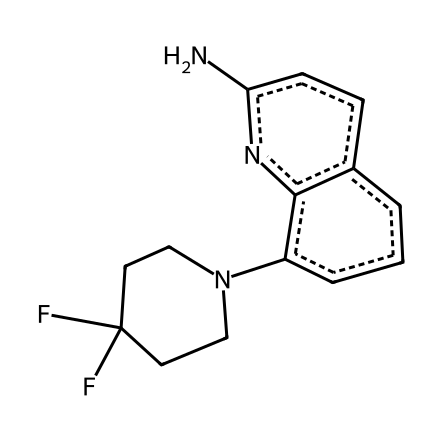 Nc1ccc2cccc(N3CCC(F)(F)CC3)c2n1